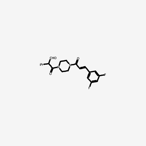 CC(C)C(C=O)C(=O)N1CCN(C(=O)C=Cc2cc(F)cc(F)c2)CC1